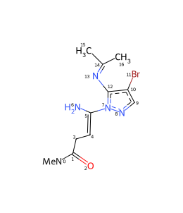 CNC(=O)C/C=C(\N)n1ncc(Br)c1N=C(C)C